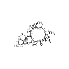 CC[C@H]1C/C=C/[C@H](OC)[C@@H]2CC[C@H]2CN2C[C@@]3(CCCc4cc(Cl)ccc43)COc3ccc(cc32)C(=O)N=[S@@](N)(=O)C1